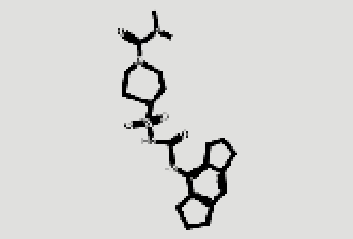 CN(C)C(=O)N1CCC(S(=O)(=O)NC(=O)Nc2c3c(cc4c2CCC4)CCC3)CC1